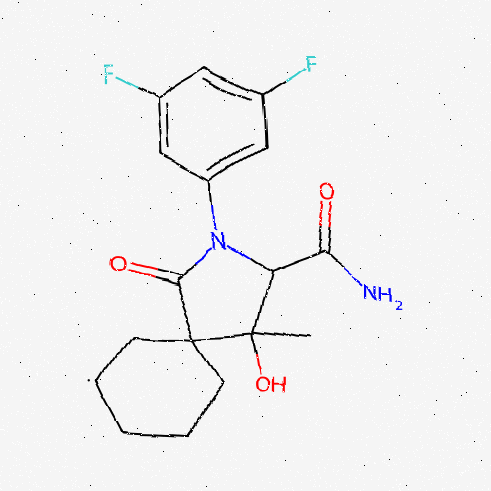 CC1(O)C(C(N)=O)N(c2cc(F)cc(F)c2)C(=O)C12C[CH]CCC2